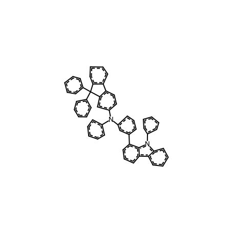 c1ccc(N(c2cccc(-c3cccc4c5ccccc5n(-c5ccccc5)c34)c2)c2ccc3c(c2)C(c2ccccc2)(c2ccccc2)c2ccccc2-3)cc1